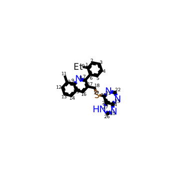 CCc1ccccc1-c1nc2c(C)cccc2cc1CSc1ncnc2nc[nH]c12